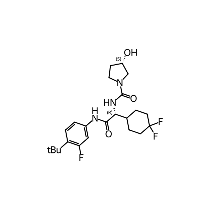 CC(C)(C)c1ccc(NC(=O)[C@H](NC(=O)N2CC[C@H](O)C2)C2CCC(F)(F)CC2)cc1F